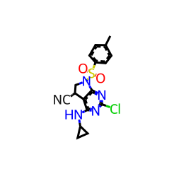 Cc1ccc(S(=O)(=O)N2CC(C#N)c3c(NC4CC4)nc(Cl)nc32)cc1